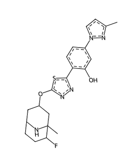 Cc1ccn(-c2ccc(-c3nnc(OC4CC5CCC(F)C(C)(C4)N5)s3)c(O)c2)n1